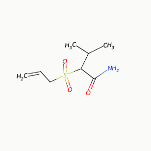 C=CCS(=O)(=O)C(C(N)=O)C(C)C